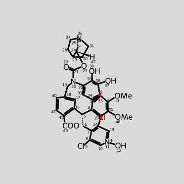 COc1ccc([C@H](Cc2c(Cl)c[n+](O)cc2Cl)c2cc(CN(C(=O)O[C@H]3CN4CCC3CC4)c3cccc(O)c3O)ccc2C(=O)[O-])cc1OC